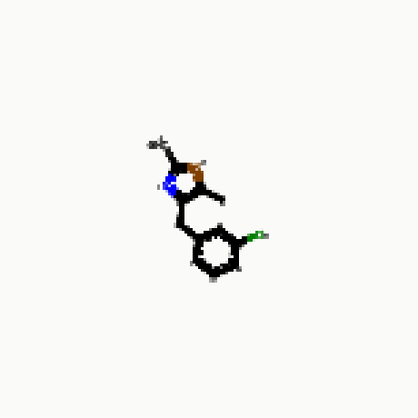 Cc1sc(C=O)nc1Cc1cccc(Cl)c1